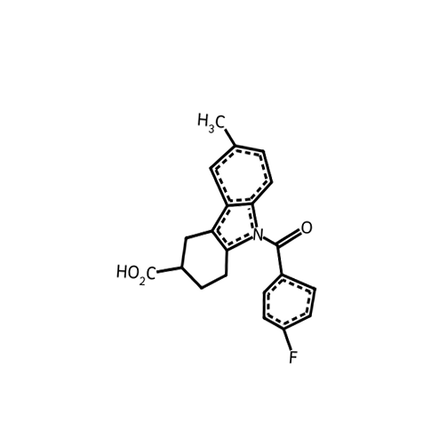 Cc1ccc2c(c1)c1c(n2C(=O)c2ccc(F)cc2)CCC(C(=O)O)C1